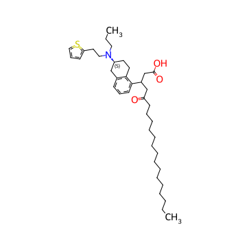 CCCCCCCCCCCCCCCC(=O)CC(CC(=O)O)c1cccc2c1CC[C@H](N(CCC)CCc1cccs1)C2